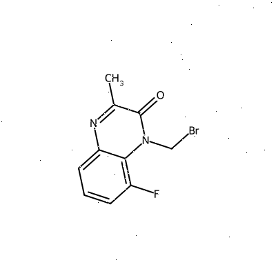 Cc1nc2cccc(F)c2n(CBr)c1=O